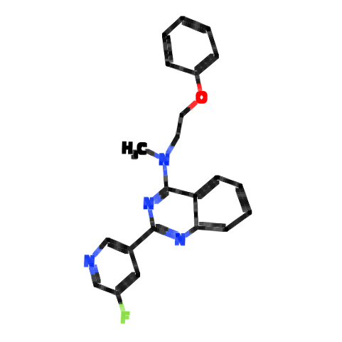 CN(CCOc1ccccc1)c1nc(-c2cncc(F)c2)nc2ccccc12